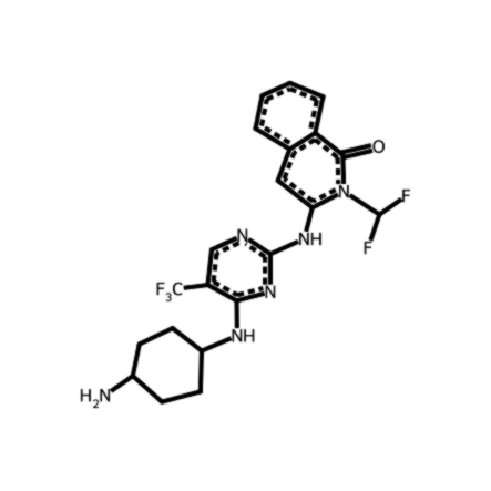 NC1CCC(Nc2nc(Nc3cc4ccccc4c(=O)n3C(F)F)ncc2C(F)(F)F)CC1